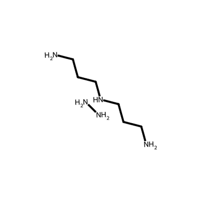 NCCCNCCCN.NN